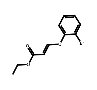 CCOC(=O)/C=C/Oc1ccccc1Br